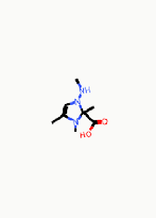 CNN1C=C(C)N(C)C1(C)C(=O)O